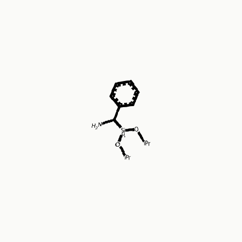 CC(C)O[SiH](OC(C)C)C(N)c1ccccc1